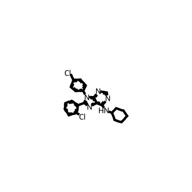 Clc1ccc(-n2c(-c3ccccc3Cl)nc3c(NC4CCCCC4)ncnc32)cc1